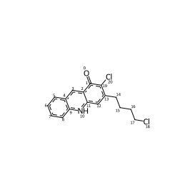 O=c1c2cc3ccccc3[nH]c-2cc(CCCCCl)c1Cl